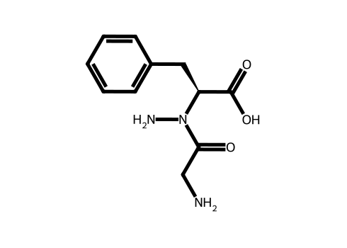 NCC(=O)N(N)[C@@H](Cc1ccccc1)C(=O)O